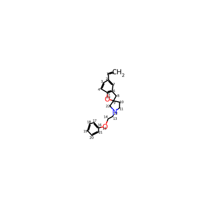 C=Cc1ccc2c(c1)CC1(CCN(CCOc3ccccc3)C1)O2